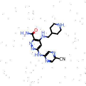 N#Cc1cnc(Nc2cc(NCC3CCNCC3)c(C(N)=O)nn2)cn1